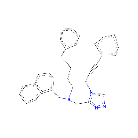 C(#Cc1ccccc1)Cn1cnnc1CN(CCCCc1ccccc1)Cc1cccc2ccccc12